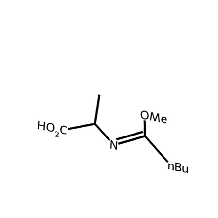 CCCCC(=NC(C)C(=O)O)OC